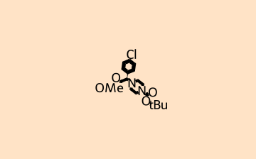 COC(=O)[C@H](c1ccc(Cl)cc1)N1CCN(C(=O)OC(C)(C)C)CC1